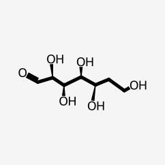 O=C[C@@H](O)[C@H](O)[C@@H](O)[C@H](O)CCO